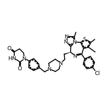 Cc1sc2c(c1C)C(c1ccc(Cl)cc1)=N[C@@H](CCN1CCN(Cc3ccc(N4CCC(=O)NC4=O)cc3)CC1)c1nnc(C)n1-2